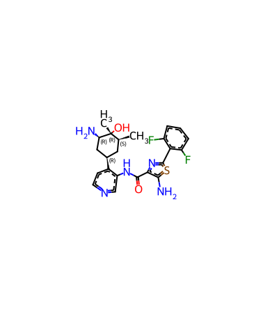 C[C@H]1C[C@@H](c2ccncc2NC(=O)c2nc(-c3c(F)cccc3F)sc2N)C[C@@H](N)[C@]1(C)O